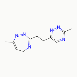 CC1=CCN=C(CCc2cnc(C)nn2)N=N1